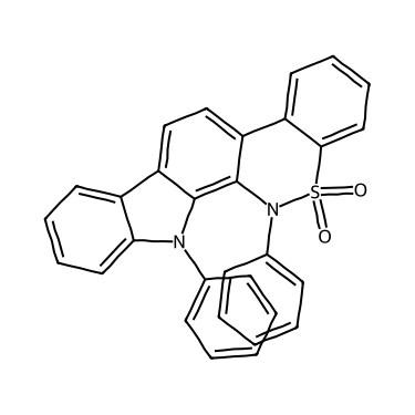 O=S1(=O)c2ccccc2-c2ccc3c4ccccc4n(-c4ccccc4)c3c2N1c1ccccc1